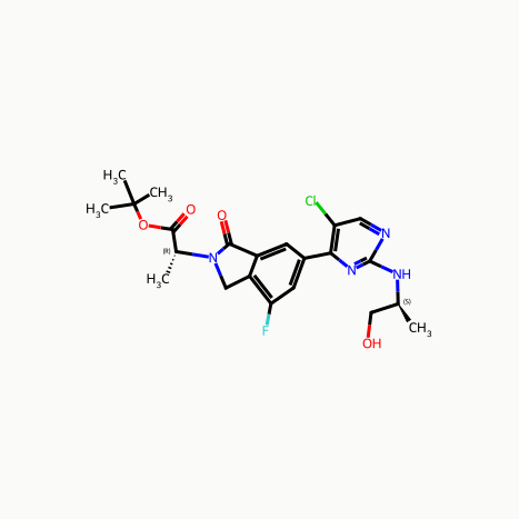 C[C@H](C(=O)OC(C)(C)C)N1Cc2c(F)cc(-c3nc(N[C@@H](C)CO)ncc3Cl)cc2C1=O